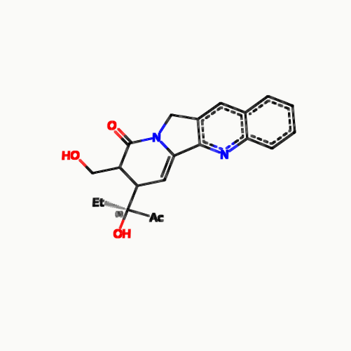 CC[C@@](O)(C(C)=O)C1C=C2c3nc4ccccc4cc3CN2C(=O)C1CO